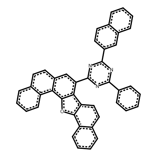 c1ccc(-c2nc(-c3ccc4ccccc4c3)nc(-c3cc4ccc5ccccc5c4c4oc5c6ccccc6ccc5c34)n2)cc1